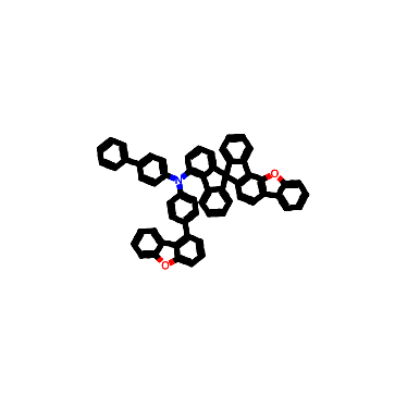 c1ccc(-c2ccc(N(c3ccc(-c4cccc5oc6ccccc6c45)cc3)c3cccc4c3-c3ccccc3C43c4ccccc4-c4c3ccc3c4oc4ccccc43)cc2)cc1